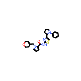 O=C(Nc1nc(C2CCCN2c2ccccc2)cs1)c1cccn1CC1=CCOCC1